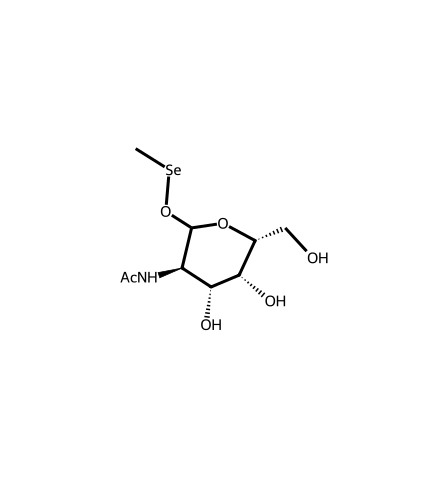 C[Se]OC1O[C@H](CO)[C@H](O)[C@H](O)[C@H]1NC(C)=O